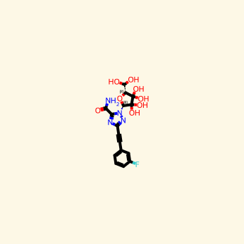 NC(=O)c1nc(C#Cc2cccc(F)c2)nn1[C@@H]1O[C@H](C(O)O)C(O)(O)C1(O)O